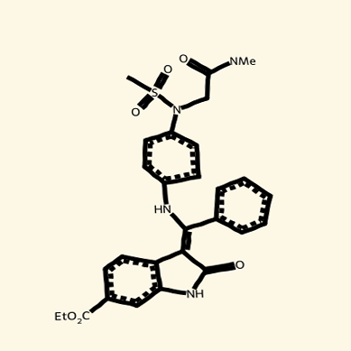 CCOC(=O)c1ccc2c(c1)NC(=O)C2=C(Nc1ccc(N(CC(=O)NC)S(C)(=O)=O)cc1)c1ccccc1